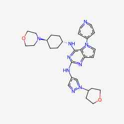 c1cc(-n2ccc3nc(Nc4cnn(C5CCOCC5)c4)nc(N[C@H]4CC[C@H](N5CCOCC5)CC4)c32)ccn1